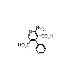 O=C(O)c1cnc([N+](=O)[O-])c(C(=O)O)c1-c1ccccc1